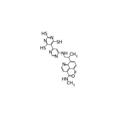 CNC(=O)c1ccnc2c([C@H](C)CNc3cc(-c4c(S)nc(S)nc4S)ncn3)ccc(F)c12